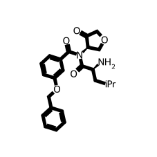 CC(C)C[C@H](N)C(=O)N(C(=O)c1cccc(OCc2ccccc2)c1)[C@@H]1COCC1=O